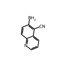 Bc1ccc2ncccc2c1C#N